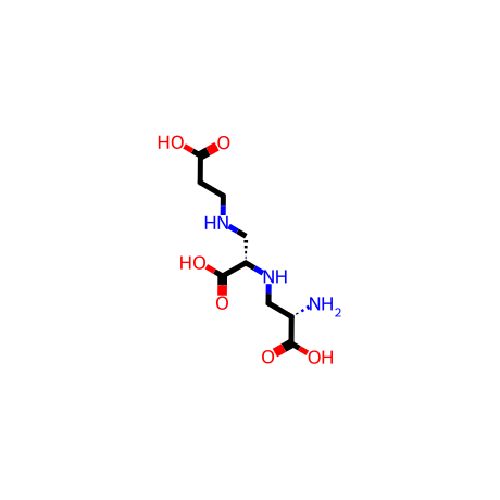 N[C@@H](CN[C@@H](CNCCC(=O)O)C(=O)O)C(=O)O